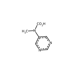 CN(C(=O)O)c1cncnc1